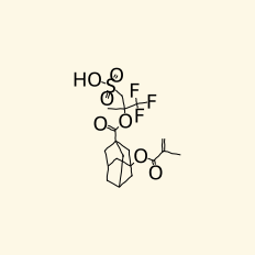 C=C(C)C(=O)OC12CC3CC(C1)CC(C(=O)OC(C)(CS(=O)(=O)O)C(F)(F)F)(C3)C2